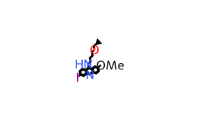 COc1ccc2nc3cc(I)ccc3c(NCCCCOCC3CC3)c2c1